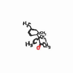 CC(=O)C(C)(C)C1CCC(C)=C[C@@H]1C